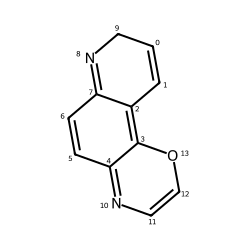 C1=Cc2c3c(ccc2=NC1)=NC=CO3